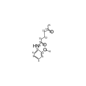 COc1ccccc1NC(=O)CCCC(C)=O